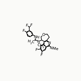 C=C(Nc1ccc(F)c(C(F)F)c1)N(C)C1COCCc2nc(NC)c3cc(F)c(F)cc3c21